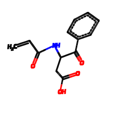 C=CC(=O)NC(CC(=O)O)C(=O)c1ccccc1